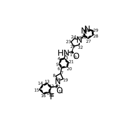 O=C(Nc1ccc(C2CN(C(=O)c3ccccc3F)C2)cc1)[C@H]1CCN(c2cccnn2)C1